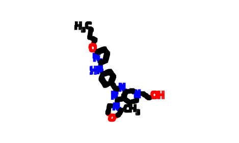 CCCCOc1cccc(Nc2ccc(-c3nc4c(c(N5CCOC[C@@H]5C)n3)CCN(CCO)C4)cc2)n1